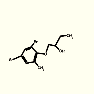 CCC(O)COc1c(C)cc(Br)cc1Br